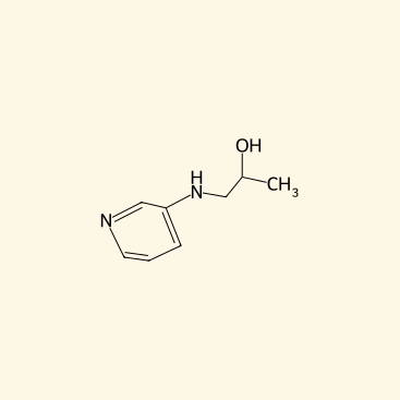 CC(O)CNc1cccnc1